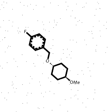 CO[C@H]1CC[C@H](OCc2ccc(F)cc2)CC1